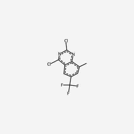 Cc1cc(C(F)(F)F)cc2c(Cl)nc(Cl)nc12